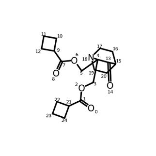 O=C(OCC1(COC(=O)C2CCC2)C(=O)C2CCN1CC2)C1CCC1